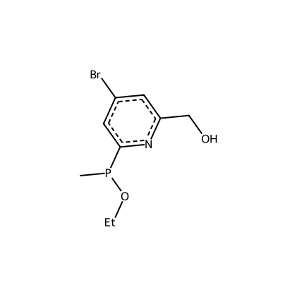 CCOP(C)c1cc(Br)cc(CO)n1